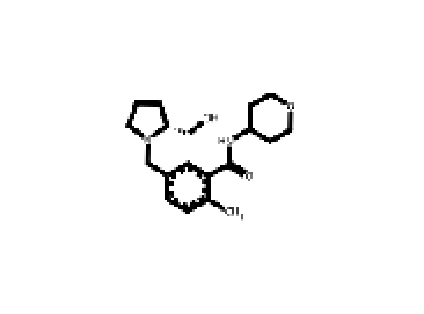 Cc1ccc(CN2CCC[C@@H]2CO)cc1C(=O)NC1CCOCC1